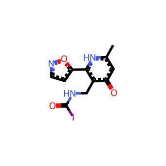 Cc1cc(=O)c(CNC(=O)I)c(-c2ccno2)[nH]1